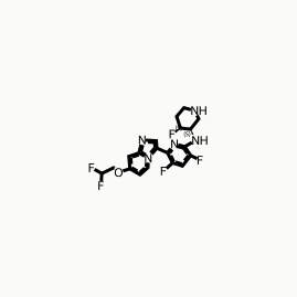 Fc1cc(F)c(-c2cnc3cc(OCC(F)F)ccn23)nc1N[C@H]1CNCC[C@@H]1F